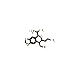 CCCC1OC(C(C)C)c2cc3c(cc2C1CC)OCO3